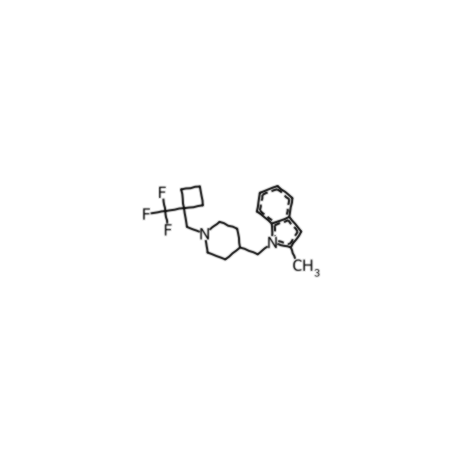 Cc1cc2ccccc2n1CC1CCN(CC2(C(F)(F)F)CCC2)CC1